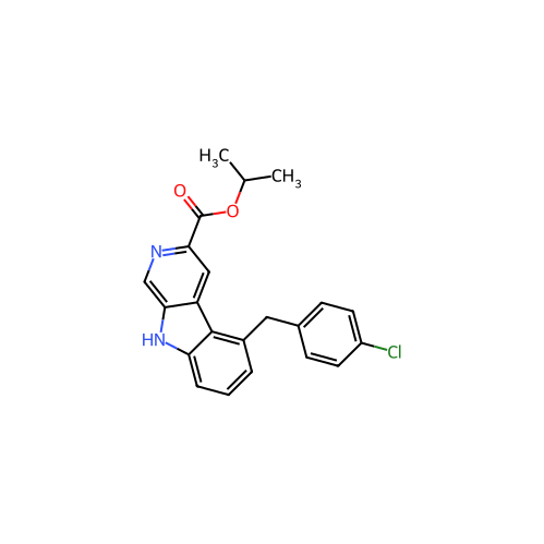 CC(C)OC(=O)c1cc2c(cn1)[nH]c1cccc(Cc3ccc(Cl)cc3)c12